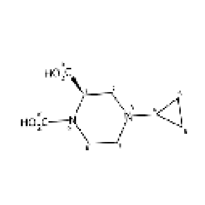 O=C(O)[C@H]1CN(C2CC2)CCN1C(=O)O